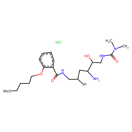 COCCCCOc1ccccc1C(=O)NCC(CC(N)C(O)CNC(=O)N(C)C)C(C)C.Cl